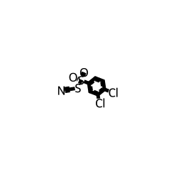 N#CSS(=O)(=O)c1ccc(Cl)c(Cl)c1